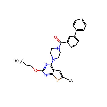 CCc1cc2c(N3CCN(C(=O)c4cccc(-c5ccccc5)c4)CC3)nc(OCCC(=O)O)nc2s1